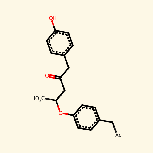 CC(=O)Cc1ccc(OC(CC(=O)Cc2ccc(O)cc2)C(=O)O)cc1